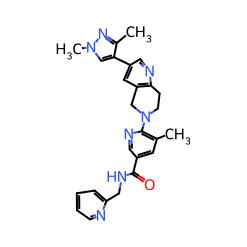 Cc1cc(C(=O)NCc2ccccn2)cnc1N1CCc2ncc(-c3cn(C)nc3C)cc2C1